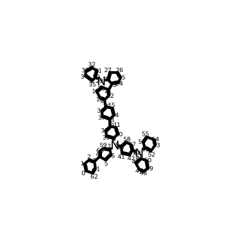 c1ccc(-c2ccc(N(c3ccc(-c4ccc(-c5ccc6c(c5)c5ccccc5n6-c5ccccc5)cc4)cc3)c3ccc(N(c4ccccc4)c4ccccc4)cc3)cc2)cc1